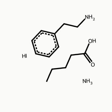 CCCCC(=O)O.I.N.NCCc1ccccc1